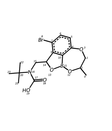 CC1COc2ccc(Br)c3c2B(O1)OC3CN(C(=O)O)C(C)(C)C